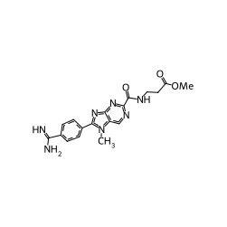 COC(=O)CCNC(=O)c1ncc2c(n1)nc(-c1ccc(C(=N)N)cc1)n2C